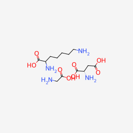 NCC(=O)O.NCCCCCC(N)C(=O)O.N[C@@H](CC(=O)O)C(=O)O